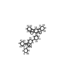 c1ccc(-c2nc3cc(-c4cccc(-c5c6oc7ccccc7c6cc6c5oc5ccccc56)c4)ccc3n2-c2ccccc2)cc1